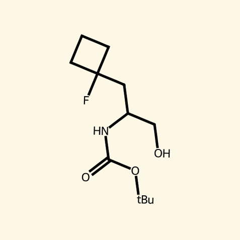 CC(C)(C)OC(=O)NC(CO)CC1(F)CCC1